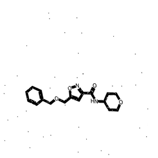 O=C(NC1CCOCC1)c1cc(COCC2=CCCC=C2)on1